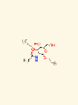 C=CCO[C@H]1[C@H](O)[C@@H](CO)O[C@@H](OCCBr)[C@@H]1NC(C)=O